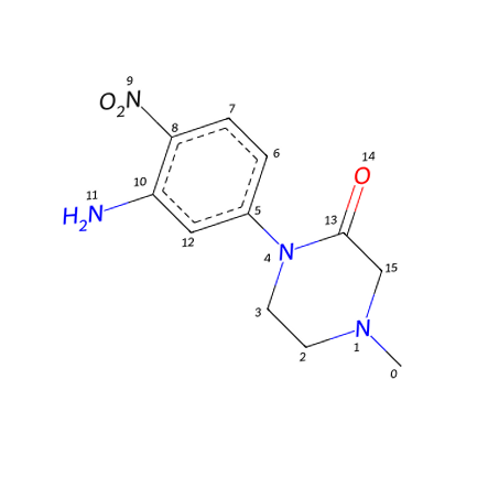 CN1CCN(c2ccc([N+](=O)[O-])c(N)c2)C(=O)C1